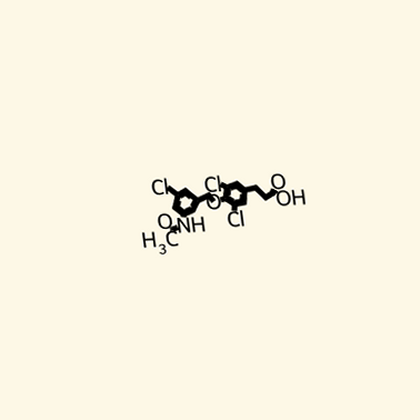 CC(=O)Nc1cc(Cl)cc(COc2c(Cl)cc(CCC(=O)O)cc2Cl)c1